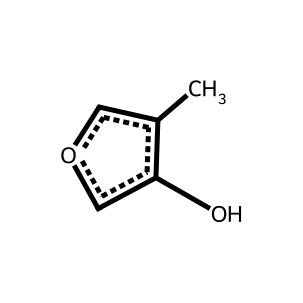 Cc1cocc1O